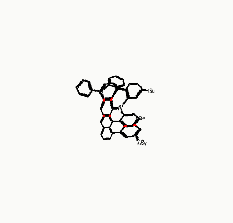 CC(C)(C)c1cc(-c2cccc3cccc(-c4ccccc4N(c4cc(C(C)(C)C)ccc4-c4ccccc4)c4cccc5c4c4ccccc4n5-c4ccccc4)c23)cc(C(C)(C)C)c1